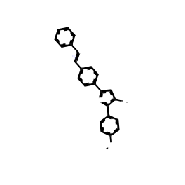 COc1ccc(-c2sc(-c3ccc(/C=C/c4ccccc4)cc3)cc2Br)cc1